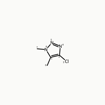 Cc1c(Cl)nnn1C